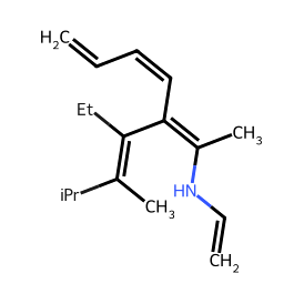 C=C\C=C/C(=C(\C)NC=C)C(/CC)=C(\C)C(C)C